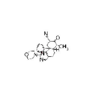 C[C@@H]1C(=O)C(C#N)CC2(c3ccccc3)c3nc(N4CCOCC4)ncc3CC[C@@H]12